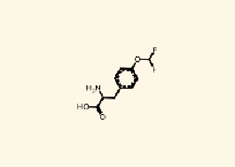 N[C@@H](Cc1ccc(OC(F)F)cc1)C(=O)O